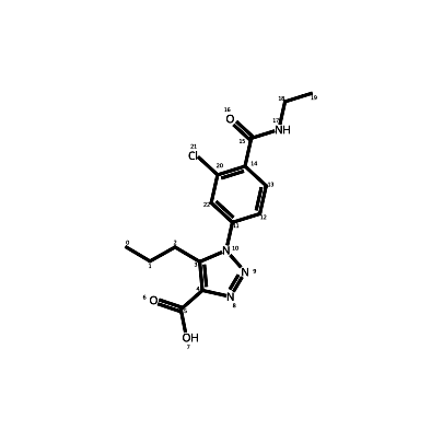 CCCc1c(C(=O)O)nnn1-c1ccc(C(=O)NCC)c(Cl)c1